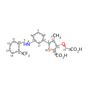 Cc1c(-c2cccc(NCc3ccccc3C(F)(F)F)c2)sc(C(=O)O)c1OCC(=O)O